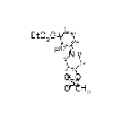 CCOC(=O)c1cccc(N2CCC(OS(C)(=O)=O)CC2)c1F